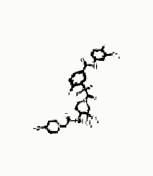 Cc1cc(NC(=O)c2ccc(F)c(C(F)(F)C(=O)N3CCC(NC(=O)CN4CCC(O)CC4)C(C)(C)C3)c2)ccc1F